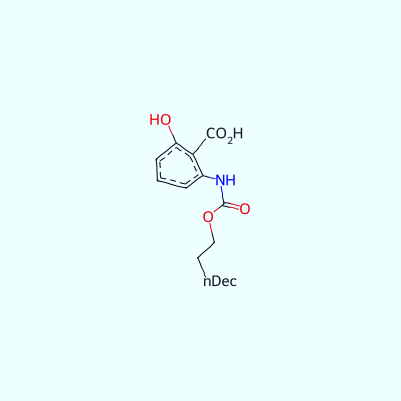 CCCCCCCCCCCCOC(=O)Nc1cccc(O)c1C(=O)O